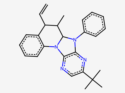 C=CC1c2ccccc2N2c3ncc(C(C)(C)C)nc3N(c3ccccc3)C2C1C